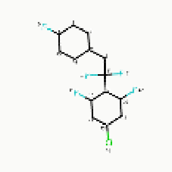 FC1CCC(CC(F)(F)C2C(F)CC(Cl)CC2F)CC1